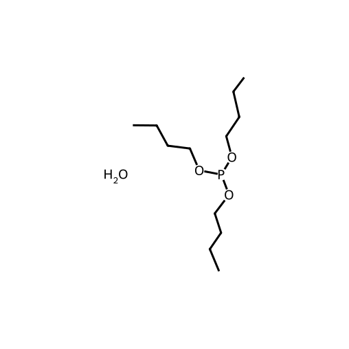 CCCCOP(OCCCC)OCCCC.O